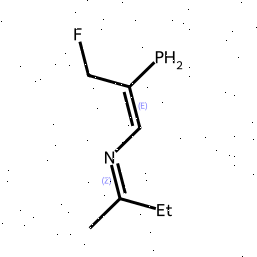 CC/C(C)=N\C=C(\P)CF